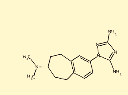 CN(C)[C@H]1CCc2ccc(-n3nc(N)nc3N)cc2CC1